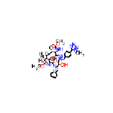 CC[C@H](C)[C@H](NC(=O)OC)C(=O)NN(Cc1ccc(-c2nnnn2C)cc1)C[C@H](O)[C@H](Cc1ccccc1)NC(=O)[C@@H](NC(=O)OC)C(C)(C)C